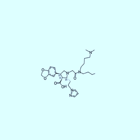 CCCCN(CCCCN(C)C)C(=O)CN1C[C@H](c2ccc3c(c2)OCO3)[C@H](C(=O)O)[C@H]1CCn1cccn1